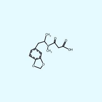 CC(Cc1ccc2c(c1)OCO2)N(C)C(=O)CC(=O)O